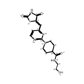 O=C1NC(=O)/C(=C/c2ccnc(N3CCC(C(=O)NCCO)CC3)n2)S1